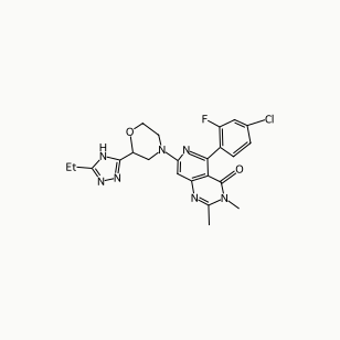 CCc1nnc(C2CN(c3cc4nc(C)n(C)c(=O)c4c(-c4ccc(Cl)cc4F)n3)CCO2)[nH]1